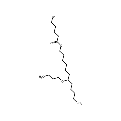 CCCCCC(CCCCCCOC(=O)CCCCBr)OCCCC